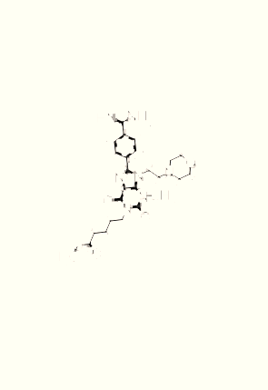 COC(=O)CCCCn1c(=O)c2nc(-c3ccc(C(=N)N)cc3)n(CCN3CCOCC3)c2n(C)c1=O